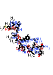 CSCC[C@H](NC(=O)[C@H](CC(C)C)NC(=O)[C@H](Cc1c[nH]cn1)NC(=O)CNC(=O)[C@@H](NC(=O)[C@H](C)NC(=O)[C@H](Cc1c[nH]c2ccccc12)NC(=O)[C@H](CCC(N)=O)NC(=O)[C@H](CC(N)=O)NC(=O)CNC(=O)[C@H](CC(C)C)NC(=O)[C@H](CCCNC(=N)N)NC(=O)[C@H](CCC(N)=O)NC(=O)[C@@H]1CCC(=O)N1)C(C)C)C(=O)O